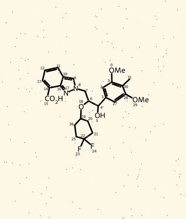 COc1cc(C(O)C(Cn2cc3cccc(C(=O)O)c3n2)OC2CCC(F)(F)CC2)cc(OC)c1C